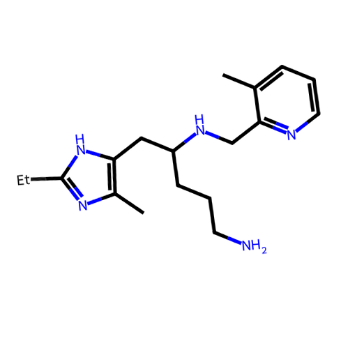 CCc1nc(C)c(CC(CCCN)NCc2ncccc2C)[nH]1